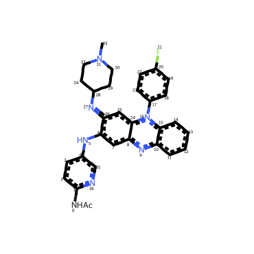 CC(=O)Nc1ccc(Nc2cc3nc4ccccc4n(-c4ccc(F)cc4)c-3c/c2=N\C2CCN(C)CC2)cn1